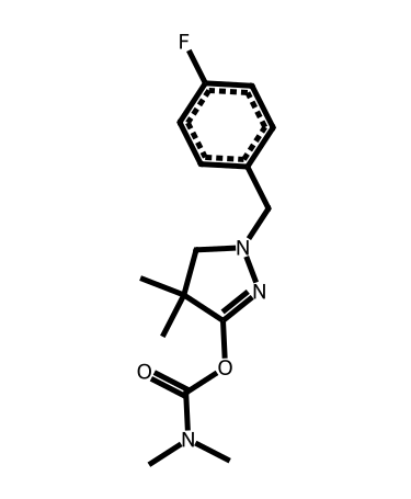 CN(C)C(=O)OC1=NN(Cc2ccc(F)cc2)CC1(C)C